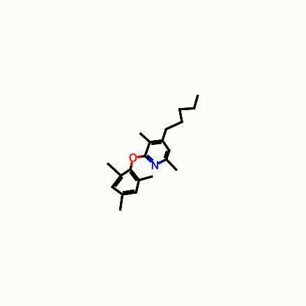 CCCCCc1cc(C)nc(Oc2c(C)cc(C)cc2C)c1C